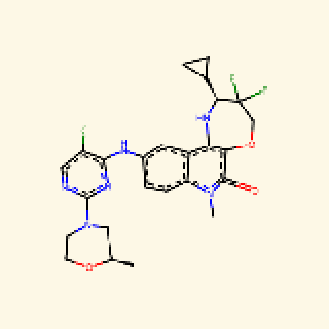 C[C@@H]1CN(c2ncc(Cl)c(Nc3ccc4c(c3)c3c(c(=O)n4C)OCC(F)(F)[C@H](C4CC4)N3)n2)CCO1